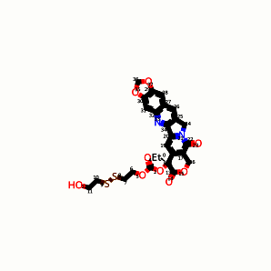 CC[C@@]1(OC(=O)OCCSSCCO)C(=O)OCc2c1cc1n(c2=O)Cc2cc3cc4c(cc3nc2-1)OCO4